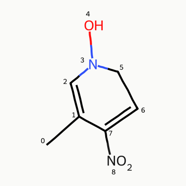 CC1=CN(O)CC=C1[N+](=O)[O-]